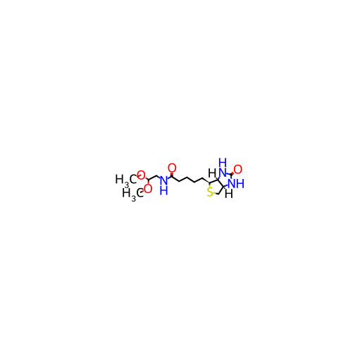 COC(CNC(=O)CCCC[C@@H]1SC[C@@H]2NC(=O)N[C@@H]21)OC